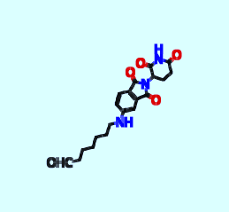 O=CCCCCCCNc1ccc2c(c1)C(=O)N(C1CCC(=O)NC1=O)C2=O